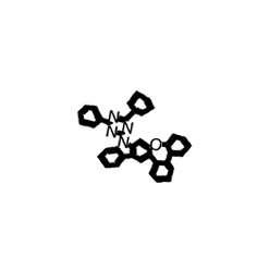 c1ccc(-c2nc(-c3ccccc3)nc(-n3c4ccccc4c4cc5c(cc43)Oc3ccccc3-c3ccccc3-5)n2)cc1